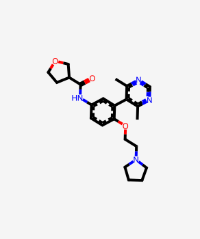 Cc1ncnc(C)c1-c1cc(NC(=O)C2CCOC2)ccc1OCCN1CCCC1